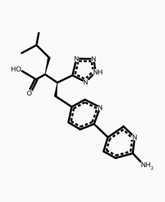 CC(C)C[C@H](C(=O)O)[C@H](Cc1ccc(-c2ccc(N)nc2)nc1)c1nn[nH]n1